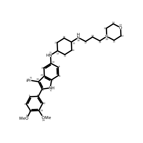 COc1ccc(-c2[nH]c3ccc(NC4CCC(NCCCN5CCOCC5)CC4)cc3c2C(C)C)cc1OC